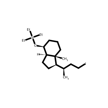 CC[Si](CC)(CC)O[C@H]1CCC[C@]2(C)[C@@H]([C@H](C)CCI)CC[C@@H]12